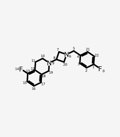 Fc1ccc(CN2CC(N3CCc4c(F)cccc4C3)C2)cc1